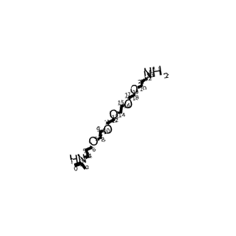 C=C(C)NCCCOCCOCCOCCOCCOCCCN